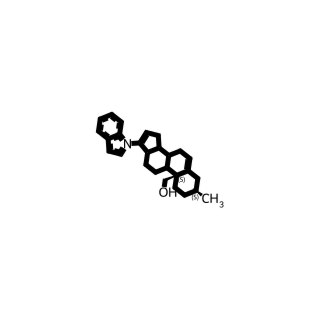 C[C@H]1CC[C@@]2(CO)C(=CCC3C4CC=C(n5ccc6ccccc65)C4CCC32)C1